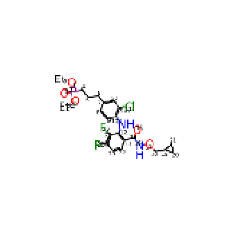 CCOP(=O)(CCCc1ccc(Nc2c(C(=O)NOCC3CC3)ccc(F)c2F)c(Cl)c1)OCC